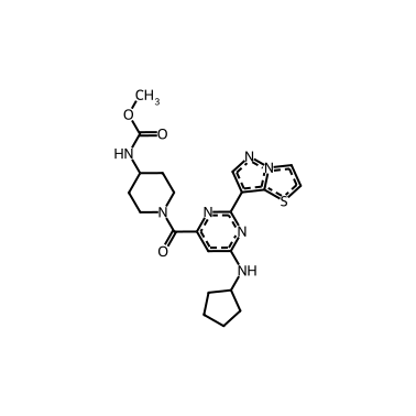 COC(=O)NC1CCN(C(=O)c2cc(NC3CCCC3)nc(-c3cnn4ccsc34)n2)CC1